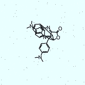 CN(C)c1ccc(C2(c3ccc(N(C)C)cc3)C3c4cccc5nc6c(nc45)C(=O)OC632)cc1